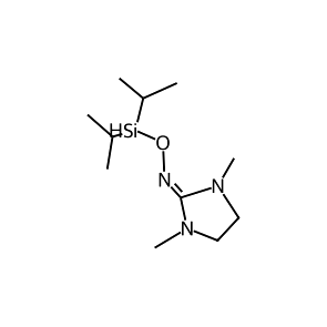 CC(C)[SiH](ON=C1N(C)CCN1C)C(C)C